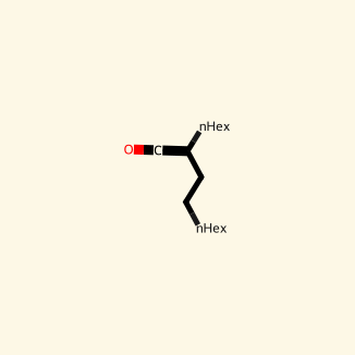 CCCCCCCCC(=C=O)CCCCCC